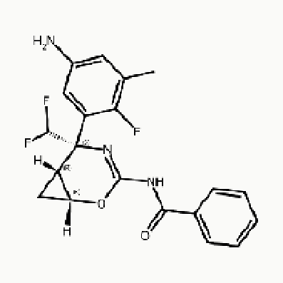 Cc1cc(N)cc([C@@]2(C(F)F)N=C(NC(=O)c3ccccc3)O[C@@H]3C[C@@H]32)c1F